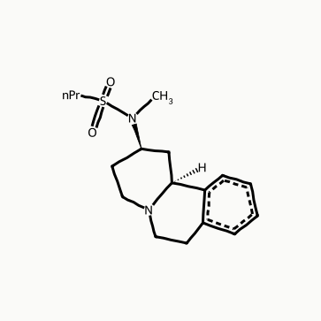 CCCS(=O)(=O)N(C)[C@@H]1CCN2CCc3ccccc3[C@@H]2C1